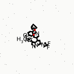 CS(=O)(=O)c1ccc(CN2C3CC2CN(c2ccc(-c4cc(N5CC(F)(F)C5)cn5ncc(C#N)c45)cn2)C3)cc1